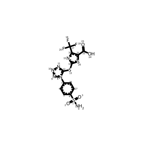 NS(=O)(=O)c1ccc(-n2nnnc2Sc2nc(C(F)(F)F)c(C(=O)O)s2)cc1